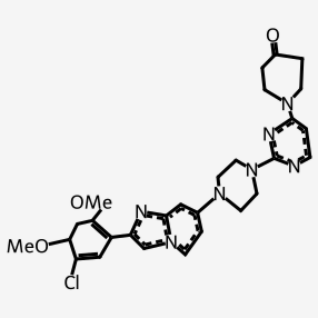 COC1=C(c2cn3ccc(N4CCN(c5nccc(N6CCC(=O)CC6)n5)CC4)cc3n2)C=C(Cl)C(OC)C1